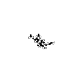 COCCOCN1CN=c2c(ncn2[C@@H]2O[C@H](COC(C)=O)[C@@H](OC(C)=O)[C@H]2OC(C)=O)=C1O